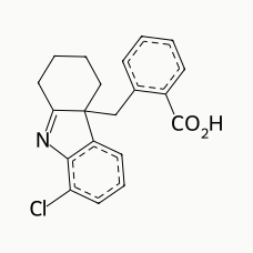 O=C(O)c1ccccc1CC12CCCCC1=Nc1c(Cl)cccc12